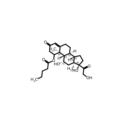 CCCCC(=O)OC1CC(=O)C=C2CC[C@@H]3[C@H]([C@@H](O)C[C@@]4(C)[C@H]3CC[C@]4(O)C(=O)CO)[C@]21C